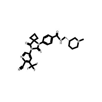 CN1CCC[C@H](CNC(=O)c2ccc(N3C(=S)N(c4cnc(C#N)c(C(F)(F)F)c4)C(=O)C34CCC4)cc2)C1